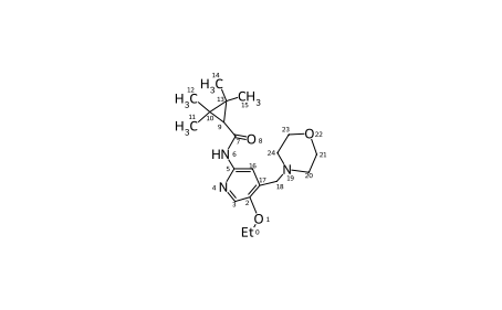 CCOc1cnc(NC(=O)C2C(C)(C)C2(C)C)cc1CN1CCOCC1